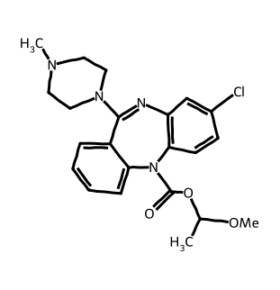 COC(C)OC(=O)N1c2ccc(Cl)cc2N=C(N2CCN(C)CC2)c2ccccc21